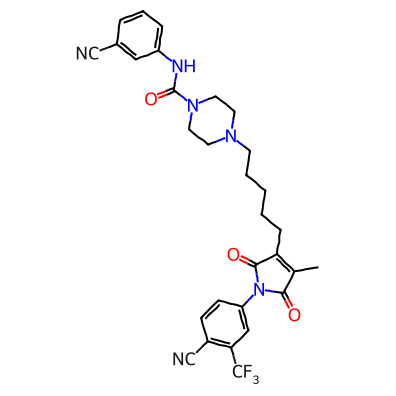 CC1=C(CCCCCN2CCN(C(=O)Nc3cccc(C#N)c3)CC2)C(=O)N(c2ccc(C#N)c(C(F)(F)F)c2)C1=O